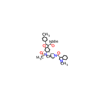 CNC(=O)c1c(-c2ccc(C)cc2)oc2cc(N(C)[S+](C)[O-])c([C@H]3CCCN(C(=O)c4cn(C)c5ccccc45)C3)cc12